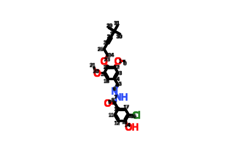 COc1cc(/C=N/NC(=O)c2ccc(O)c(Cl)c2)cc(OC)c1OCCC#CC(C)(C)C